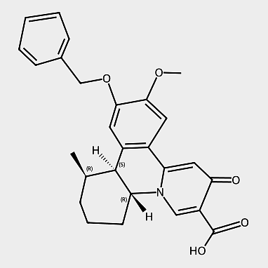 COc1cc2c(cc1OCc1ccccc1)[C@@H]1[C@H](C)CCC[C@H]1n1cc(C(=O)O)c(=O)cc1-2